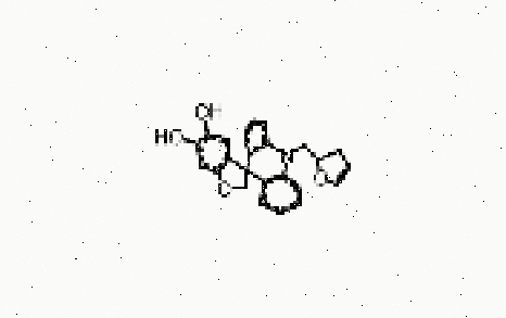 Oc1cc2c(cc1O)C1(CO2)c2ccccc2N(CC2CC=CO2)c2ccccc21